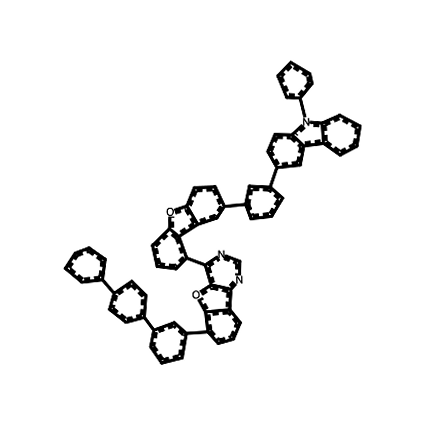 c1ccc(-c2ccc(-c3cccc(-c4cccc5c4oc4c(-c6cccc7oc8ccc(-c9cccc(-c%10ccc%11c(c%10)c%10ccccc%10n%11-c%10ccccc%10)c9)cc8c67)ncnc45)c3)cc2)cc1